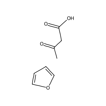 CC(=O)CC(=O)O.c1ccoc1